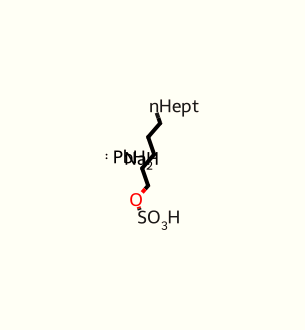 CCCCCCCCCCCCOS(=O)(=O)O.[NaH].[PbH2]